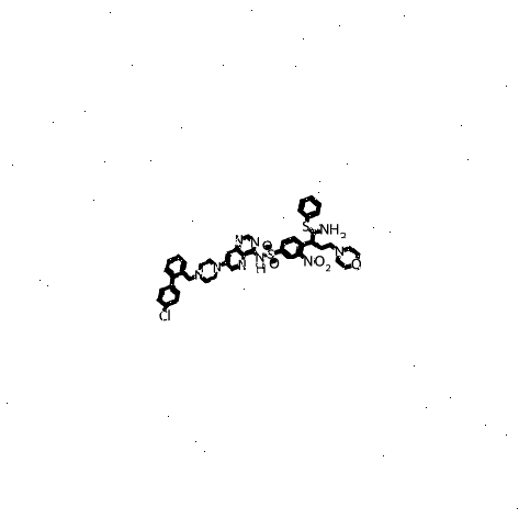 NC(Sc1ccccc1)C(CCN1CCOCC1)c1ccc(S(=O)(=O)Nc2ncnc3cc(N4CCN(Cc5ccccc5-c5ccc(Cl)cc5)CC4)cnc23)cc1[N+](=O)[O-]